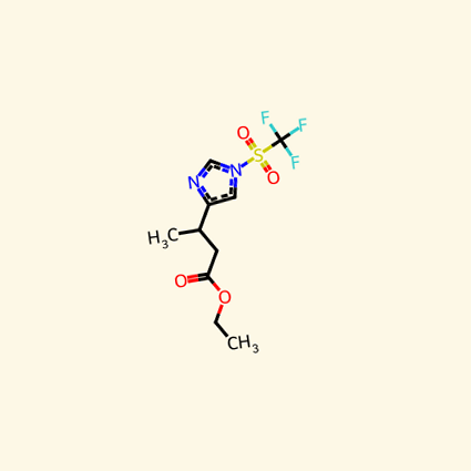 CCOC(=O)CC(C)c1cn(S(=O)(=O)C(F)(F)F)cn1